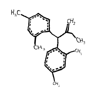 C=C(C)C(c1ccc(C)cc1C)c1ccc(C)cc1C